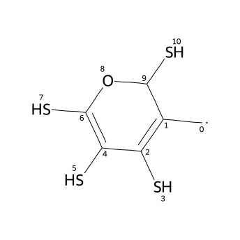 [CH2]C1=C(S)C(S)=C(S)OC1S